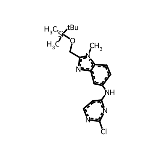 Cn1c(CO[Si](C)(C)C(C)(C)C)nc2cc(Nc3ccnc(Cl)n3)ccc21